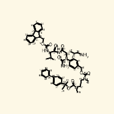 CC(C)[C@H](NC(=O)OCC1c2ccccc2-c2ccccc21)C(=O)NC(=O)[C@H](CCCN)N(C(N)=O)c1ccc(COC(=O)N(C)CCN(C)C(=O)OC(C)(C)c2ccc(-c3ccccc3)cc2)cc1